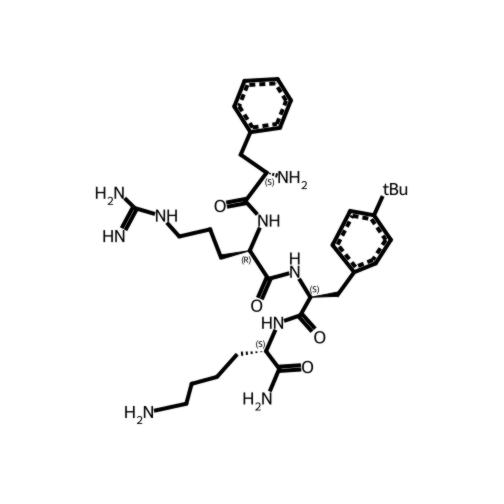 CC(C)(C)c1ccc(C[C@H](NC(=O)[C@@H](CCCNC(=N)N)NC(=O)[C@@H](N)Cc2ccccc2)C(=O)N[C@@H](CCCCN)C(N)=O)cc1